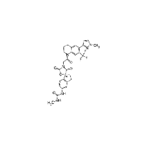 CNC(=O)Nc1ccc2c(c1)CC[C@@]21OC(=O)N(CC(=O)N2CCCc3cc(-c4ccn(C)n4)c(C(F)(F)F)cc32)C1=O